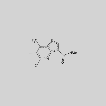 CNC(=O)c1csc2c(C(F)(F)F)c(C)c(Cl)nc12